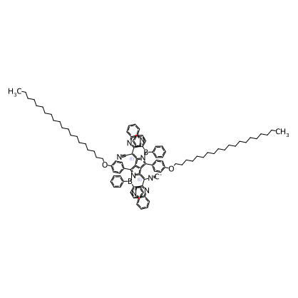 [C-]#[N+]/C(c1cnc2ccccc2n1)=c1\c2c(-c3ccc(OCCCCCCCCCCCCCCCCCCCC)cc3)n(B(c3ccccc3)c3ccccc3)/c(=C(/C#N)c3cnc4ccccc4n3)c2c(-c2ccc(OCCCCCCCCCCCCCCCCCCCC)cc2)n1B(c1ccccc1)c1ccccc1